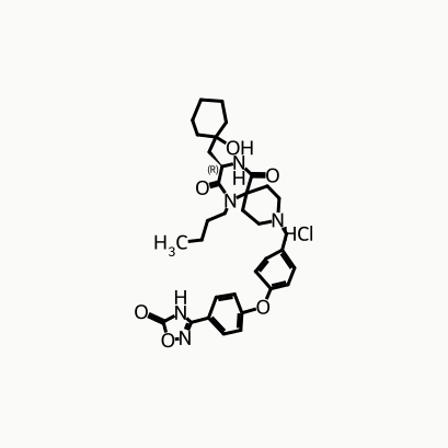 CCCCN1C(=O)[C@@H](CC2(O)CCCCC2)NC(=O)C12CCN(Cc1ccc(Oc3ccc(-c4noc(=O)[nH]4)cc3)cc1)CC2.Cl